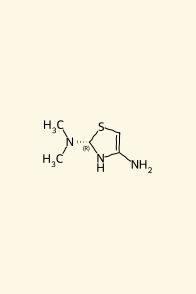 CN(C)[C@H]1NC(N)=CS1